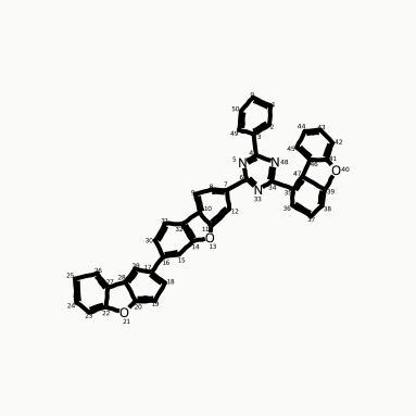 c1ccc(-c2nc(-c3ccc4c(c3)oc3cc(-c5ccc6oc7ccccc7c6c5)ccc34)nc(-c3cccc4oc5ccccc5c34)n2)cc1